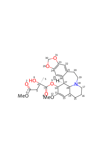 COC(=O)C[C@@](C)(O)C(=O)OC1C(OC)=CC2CCCN3CCc4cc5c(cc4[C@H]1C23)OCO5